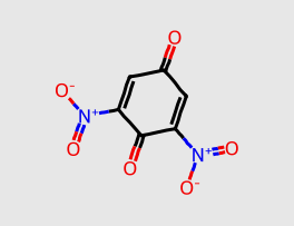 O=C1C=C([N+](=O)[O-])C(=O)C([N+](=O)[O-])=C1